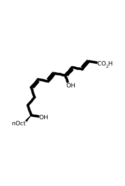 CCCCCCCC[C@H](O)CC\C=C/C=C/C(O)=C/C=C/C(=O)O